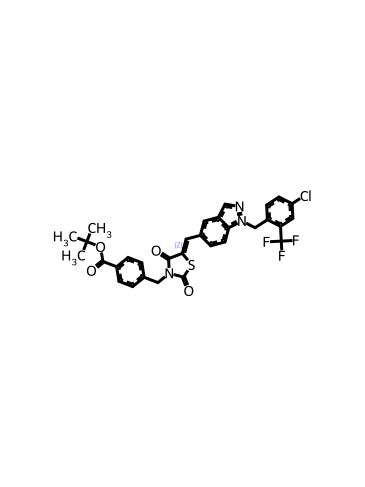 CC(C)(C)OC(=O)c1ccc(CN2C(=O)S/C(=C\c3ccc4c(cnn4Cc4ccc(Cl)cc4C(F)(F)F)c3)C2=O)cc1